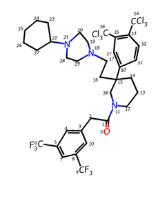 O=C(Cc1cc(C(F)(F)F)cc(C(F)(F)F)c1)N1CCCC(CCN2CCN(C3CCCCC3)CC2)(c2ccc(C(Cl)(Cl)Cl)c(C(Cl)(Cl)Cl)c2)C1